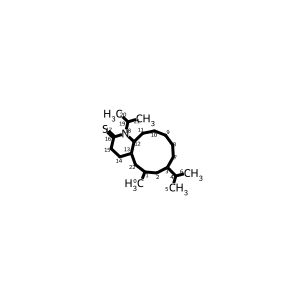 CC1CC(C(C)C)CCCCCC2C(CCC(=S)N2C(C)C)C1